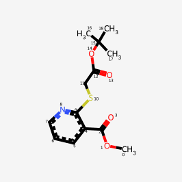 COC(=O)c1cccnc1SCC(=O)OC(C)(C)C